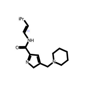 CC(C)/C=C/NC(=O)C1=NCC(CN2CCCCC2)=C1